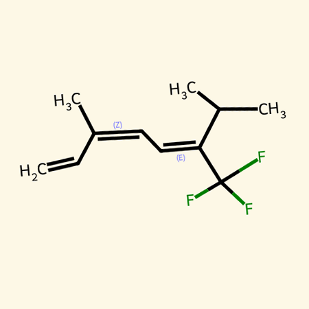 C=C/C(C)=C\C=C(/C(C)C)C(F)(F)F